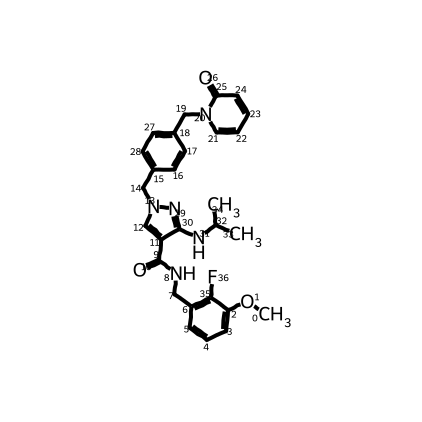 COc1cccc(CNC(=O)c2cn(Cc3ccc(Cn4ccccc4=O)cc3)nc2NC(C)C)c1F